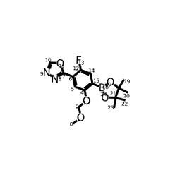 COCOc1cc(-c2nnco2)c(F)cc1B1OC(C)(C)C(C)(C)O1